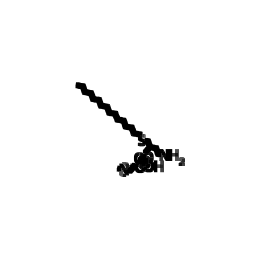 CCCCCCCCCCCCCCCCSCC(CCN)COP(=O)(O)OCC[N+](C)(C)C